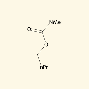 CCCCOC(=O)[N]C